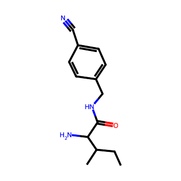 CCC(C)C(N)C(=O)NCc1ccc(C#N)cc1